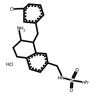 CCCS(=O)(=O)NCc1ccc2c(c1)C(Cc1cccc(Cl)c1)C(N)CC2.Cl